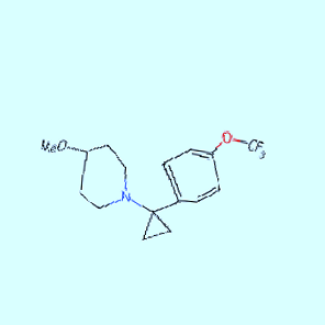 COC1CCN(C2(c3ccc(OC(F)(F)F)cc3)CC2)CC1